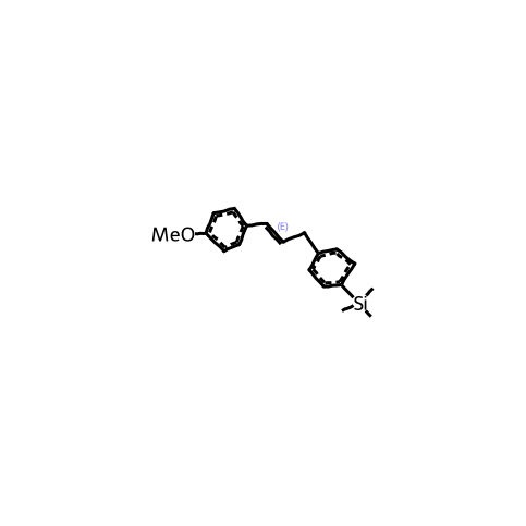 COc1ccc(/C=C/Cc2ccc([Si](C)(C)C)cc2)cc1